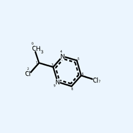 CC(Cl)c1ncc(Cl)cn1